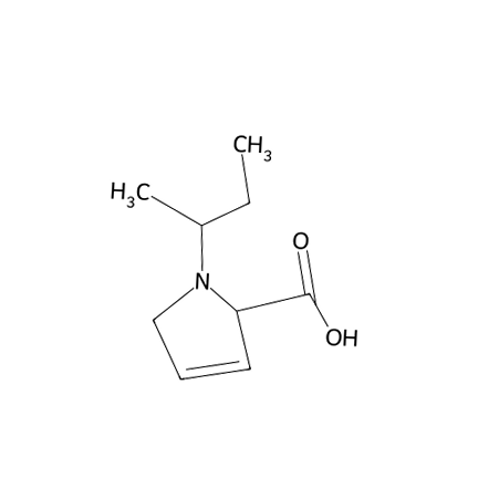 CCC(C)N1CC=CC1C(=O)O